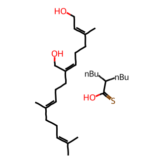 CC(C)=CCCC(C)=CCCC(=CCCC(C)=CCO)CO.CCCCC(CCCC)C(O)=S